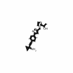 CC(O)c1nccn1Cc1cc(-c2ccc(C#CC3(N)CC3)cc2)no1